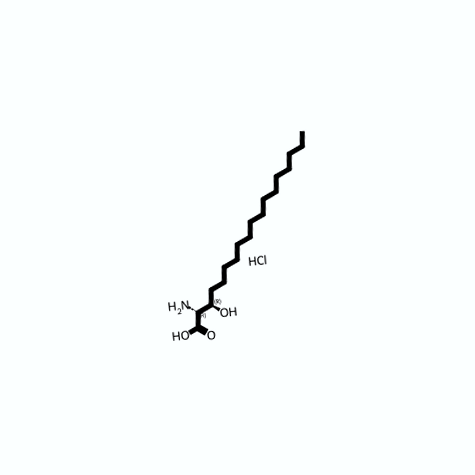 CCCCCCCCCCCCCCC[C@@H](O)[C@@H](N)C(=O)O.Cl